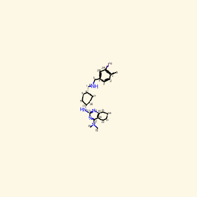 Cc1ccc(CNC[C@H]2CC[C@@H](Nc3nc4c(c(N(C)C)n3)CCCC4)CC2)cc1I